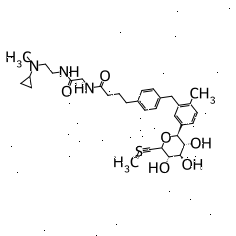 CS#CC1O[C@@H](c2ccc(C)c(Cc3ccc(CCCC(=O)NCC(=O)NCCN(C)C4CC4)cc3)c2)[C@H](O)[C@@H](O)[C@@H]1O